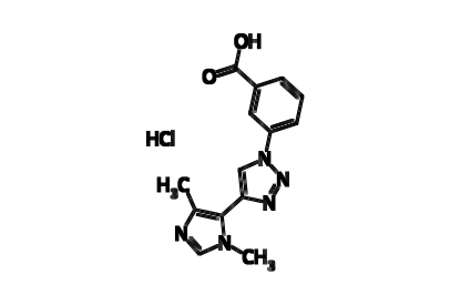 Cc1ncn(C)c1-c1cn(-c2cccc(C(=O)O)c2)nn1.Cl